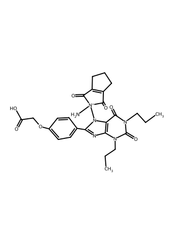 CCCn1c(=O)c2c(nc(-c3ccc(OCC(=O)O)cc3)n2[N+]2(N)C(=O)C3=C(CCC3)C2=O)n(CCC)c1=O